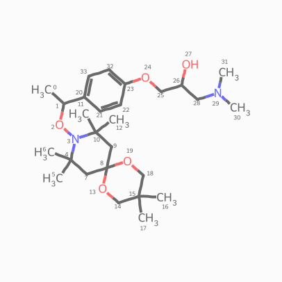 CC(ON1C(C)(C)CC2(CC1(C)C)OCC(C)(C)CO2)c1ccc(OCC(O)CN(C)C)cc1